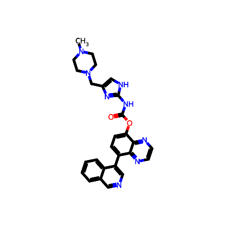 CN1CCN(Cc2c[nH]c(NC(=O)Oc3ccc(-c4cncc5ccccc45)c4nccnc34)n2)CC1